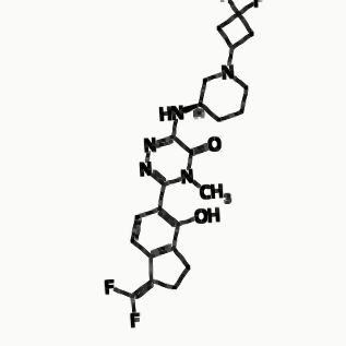 Cn1c(-c2ccc3c(c2O)CCC3=C(F)F)nnc(N[C@@H]2CCCN(C3CC(F)(F)C3)C2)c1=O